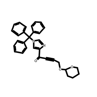 O=C(C#CCOC1CCCCO1)c1cn(C(c2ccccc2)(c2ccccc2)c2ccccc2)cn1